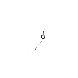 CCCCCCCCCCCCCCCCNc1ccc(C#CC(N)=O)cc1